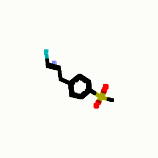 CS(=O)(=O)c1ccc(C/C=C/F)cc1